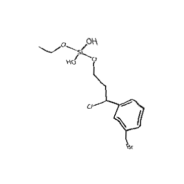 CCO[Si](O)(O)OCCC(Cl)c1cccc(Br)c1